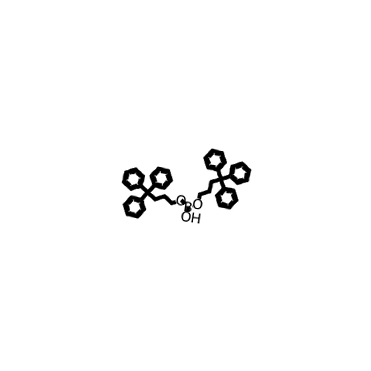 OB(OCCCC(c1ccccc1)(c1ccccc1)c1ccccc1)OCCCC(c1ccccc1)(c1ccccc1)c1ccccc1